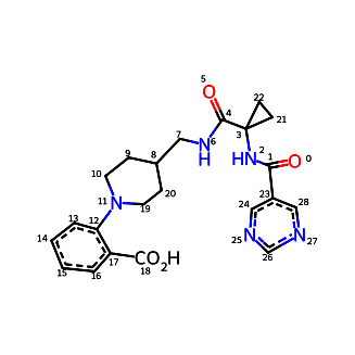 O=C(NC1(C(=O)NCC2CCN(c3ccccc3C(=O)O)CC2)CC1)c1cncnc1